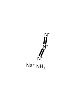 N.[N-]=[N+]=[N-].[Na+]